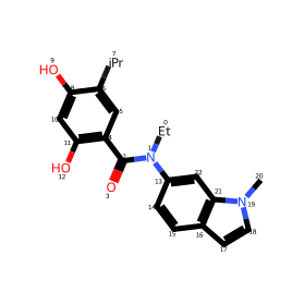 CCN(C(=O)c1cc(C(C)C)c(O)cc1O)c1ccc2ccn(C)c2c1